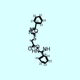 N=C(NOC(=O)CSc1nnc(-c2ccccc2)o1)c1ccccc1